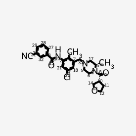 Cc1c(CN2CCN(C(=O)[C@@H]3CCOC3)[C@@H](C)C2)cc(Cl)cc1NC(=O)c1cccc(C#N)c1